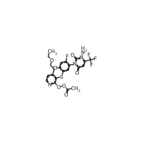 CCOCCc1ccnc(OOC(C)=O)c1Sc1cc(-n2c(=O)cc(C(F)(F)F)n(N)c2=O)c(F)cc1Cl